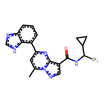 Cc1cc(-c2cccc3nc[nH]c23)nc2c(C(=O)NC(C3CC3)C(F)(F)F)cnn12